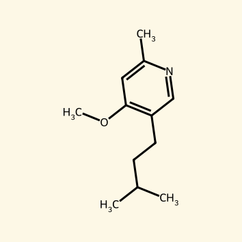 COc1cc(C)ncc1CCC(C)C